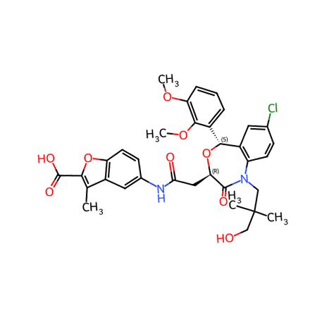 COc1cccc([C@H]2O[C@H](CC(=O)Nc3ccc4oc(C(=O)O)c(C)c4c3)C(=O)N(CC(C)(C)CO)c3ccc(Cl)cc32)c1OC